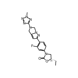 CC[C@H]1CN(c2ccc(-c3cc4n(n3)CN(c3nnn(C)n3)C4)c(F)c2)C(=O)O1